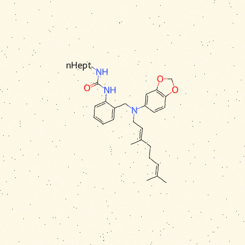 CCCCCCCNC(=O)Nc1ccccc1CN(CC=C(C)CCC=C(C)C)c1ccc2c(c1)OCO2